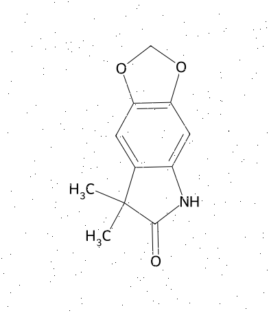 CC1(C)C(=O)Nc2cc3c(cc21)OCO3